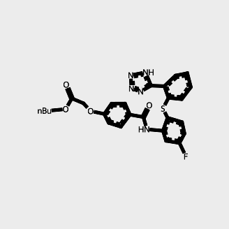 CCCCOC(=O)COc1ccc(C(=O)Nc2cc(F)ccc2Sc2ccccc2-c2nnn[nH]2)cc1